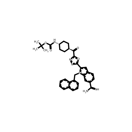 CC(C)(C)OC(=O)N[C@H]1CC[C@H](C(=O)c2nnc(-c3cc4ccc(C(=N)N)cc4n3Cc3cccc4ccccc34)o2)CC1